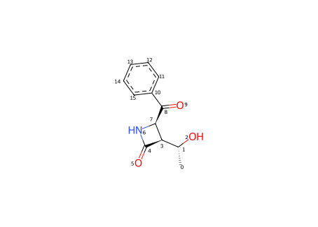 C[C@@H](O)[C@H]1C(=O)N[C@H]1C(=O)c1ccccc1